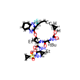 CC[C@@H]1[C@@H]2CN(C(=O)C(C(C)(C)C)NC(=O)O[C@@H]3C[C@H]3CCCCC(F)(F)c3nc4ccccc4nc3O2)[C@@H]1C(=O)N[C@]1(C(=O)NS(=O)(=O)C2CC2)C[C@H]1CC